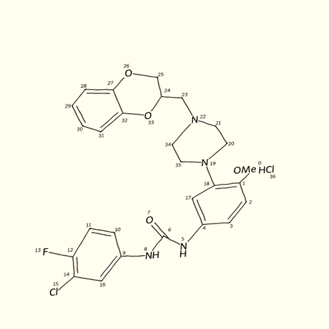 COc1ccc(NC(=O)Nc2ccc(F)c(Cl)c2)cc1N1CCN(CC2COc3ccccc3O2)CC1.Cl